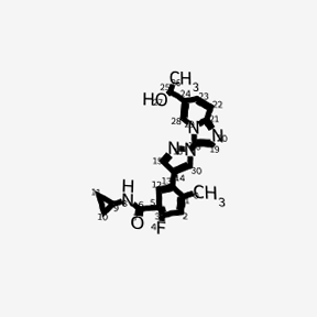 Cc1cc(F)c(C(=O)NC2CC2)cc1-c1cnn(-c2cnc3ccc(C(C)O)cn23)c1